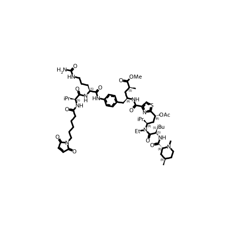 CC[C@H](C)[C@H](NC(=O)[C@H]1C[C@H](C)CCN1C)C(=O)N(CC)[C@H](C[C@@H](OC(C)=O)c1nc(C(=O)N[C@@H](Cc2ccc(NC(=O)[C@H](CCCNC(N)=O)NC(=O)[C@@H](NC(=O)CCCCCN3C(=O)C=CC3=O)C(C)C)cc2)C[C@H](C)C(=O)OC)cs1)C(C)C